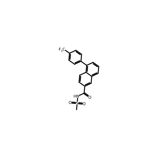 CS(=O)(=O)NC(=O)c1ccc2c(-c3ccc(C(F)(F)F)cc3)cccc2c1